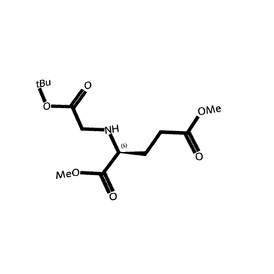 COC(=O)CC[C@H](NCC(=O)OC(C)(C)C)C(=O)OC